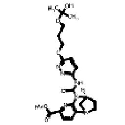 COC(=O)c1ccc2c(n1)N(C(=O)Nc1ccc(OCCCOC(C)(C)O)nn1)[C@H]1CCN2C1